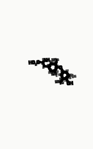 N[C@@H](Cc1cc([125I])c(Oc2cc([125I])c(O)c([125I])c2)c([125I])c1)C(=O)O